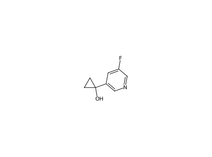 OC1(c2cncc(F)c2)CC1